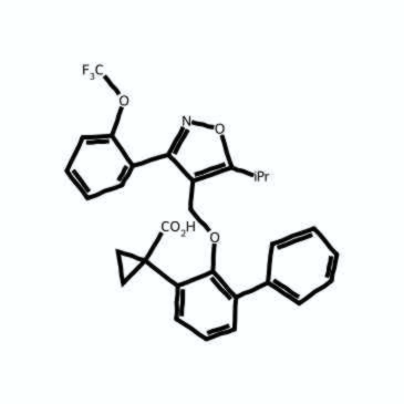 CC(C)c1onc(-c2ccccc2OC(F)(F)F)c1COc1c(-c2ccccc2)cccc1C1(C(=O)O)CC1